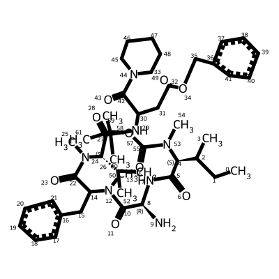 CCC(C)[C@@H](C(=O)N[C@@H](N)C(=O)N(C)C(Cc1ccccc1)C(=O)N(C)[C@H](C(=O)NC(CC(=O)OCc1ccccc1)C(=O)N1CCCCC1)C(C)C)N(C)C(=O)OC(C)(C)C